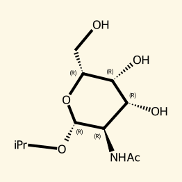 CC(=O)N[C@H]1[C@H](OC(C)C)O[C@H](CO)[C@H](O)[C@@H]1O